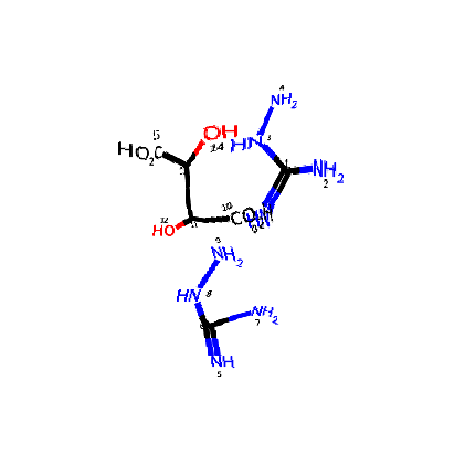 N=C(N)NN.N=C(N)NN.O=C(O)C(O)C(O)C(=O)O